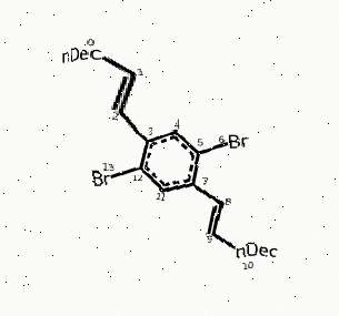 CCCCCCCCCC/C=C/c1cc(Br)c(/C=C/CCCCCCCCCC)cc1Br